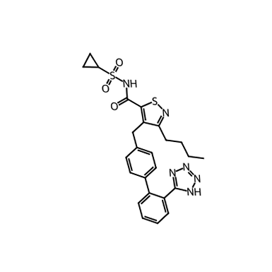 CCCCc1nsc(C(=O)NS(=O)(=O)C2CC2)c1Cc1ccc(-c2ccccc2-c2nnn[nH]2)cc1